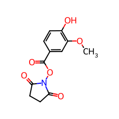 COc1cc(C(=O)ON2C(=O)CCC2=O)ccc1O